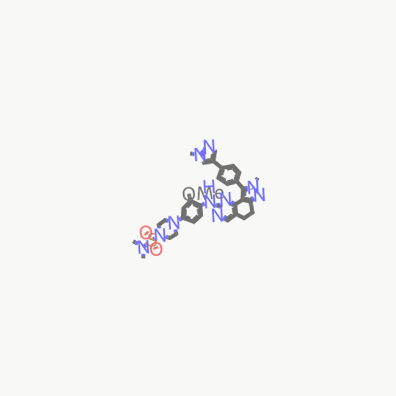 COc1cc(N2CCN(S(=O)(=O)N(C)C)CC2)ccc1Nc1ncc2c(n1)-c1c(nn(C)c1-c1ccc(-c3cnn(C)c3)cc1)CC2